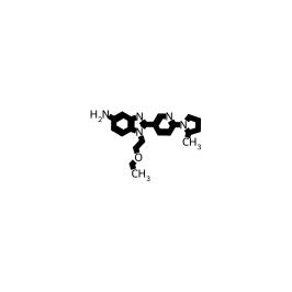 CCOCCn1c(-c2ccc(N3CCCC3C)nc2)nc2cc(N)ccc21